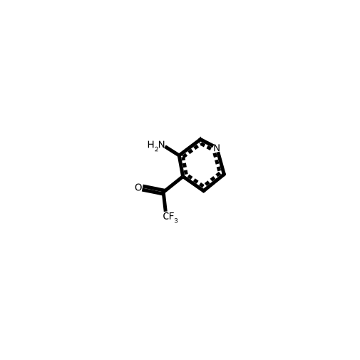 Nc1[c]nccc1C(=O)C(F)(F)F